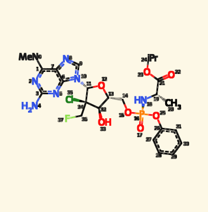 CNc1nc(N)nc2c1ncn2[C@@H]1O[C@H](CO[P@](=O)(N[C@@H](C)C(=O)OC(C)C)Oc2ccccc2)[C@@H](O)[C@]1(Cl)CF